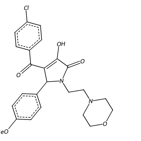 COc1ccc(C2C(C(=O)c3ccc(Cl)cc3)=C(O)C(=O)N2CCN2CCOCC2)cc1